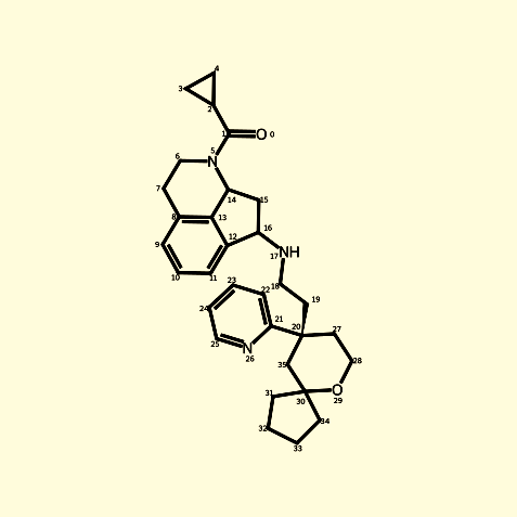 O=C(C1CC1)N1CCc2cccc3c2C1CC3NCC[C@@]1(c2ccccn2)CCOC2(CCCC2)C1